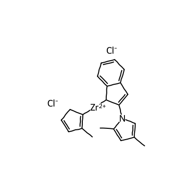 CC1=[C]([Zr+2][CH]2C(n3cc(C)cc3C)=Cc3ccccc32)CC=C1.[Cl-].[Cl-]